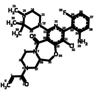 C=CC(=O)N1CCN2C(=O)c3c(N4CCN(C)C(C)(C)C4)nc(-c4c(N)cccc4F)c(Cl)c3OCC2C1